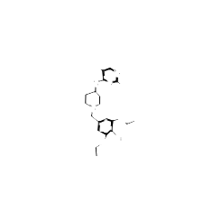 CCOc1cc(CN2CCC(Nc3nc(Cl)ncc3F)CC2)cc(OCC)c1Br